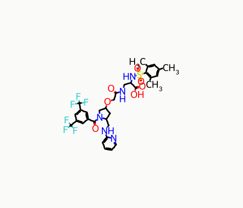 Cc1cc(C)c(S(=O)(=O)NC(CNC(=O)COC2CC(CNc3ccccn3)N(C(=O)c3cc(C(F)(F)F)cc(C(F)(F)F)c3)C2)C(=O)O)c(C)c1